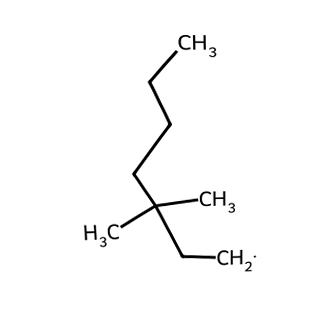 [CH2]CC(C)(C)CCCC